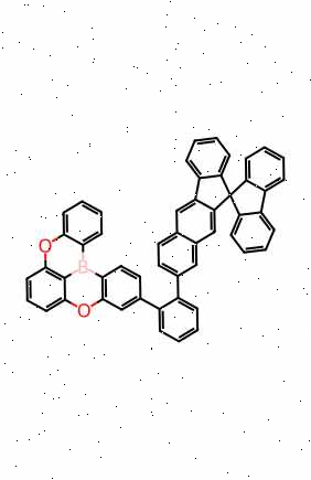 c1ccc2c(c1)Oc1cccc3c1B2c1ccc(-c2ccccc2-c2ccc4cc5c(cc4c2)C2(c4ccccc4-c4ccccc42)c2ccccc2-5)cc1O3